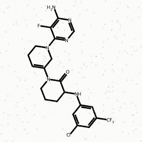 Nc1ncnc(N2CCC=C(N3CCCC(Nc4cc(Cl)cc(C(F)(F)F)c4)C3=O)C2)c1F